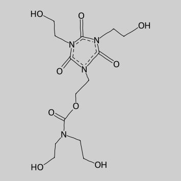 O=C(OCCn1c(=O)n(CCO)c(=O)n(CCO)c1=O)N(CCO)CCO